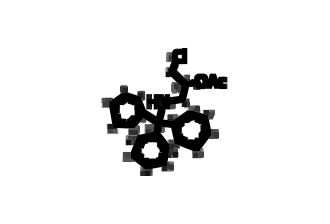 CC(=O)O[C@H](CCl)CNC(c1ccccc1)(c1ccccc1)c1ccccc1